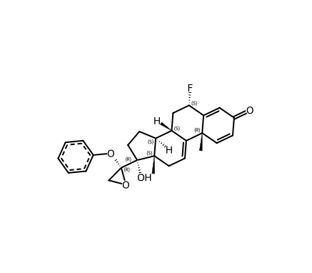 C[C@]12C=CC(=O)C=C1[C@@H](F)C[C@@H]1C2=CC[C@@]2(C)[C@H]1CC[C@]2(O)[C@]1(Oc2ccccc2)CO1